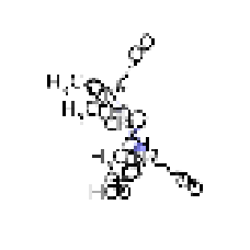 Cc1ccc2c(c1)C(C)(C)C(/C=C/C1=C(Cl)C(=C/C=C3/N(CCCCCOC=O)c4ccc(S(=O)(=O)O)cc4C3(C)C)/CCC1)=[N+]2CCCCCOC=O